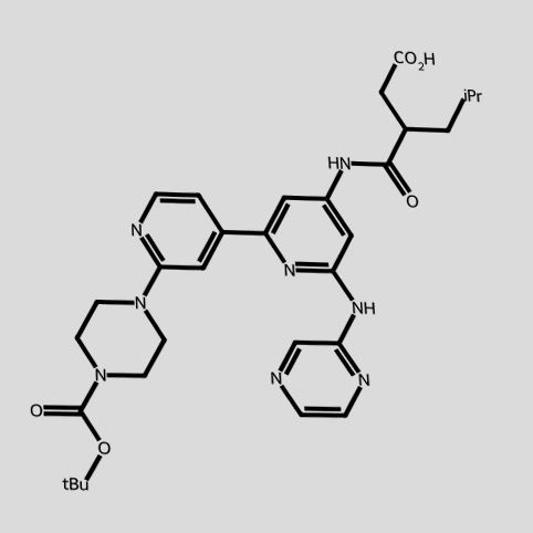 CC(C)CC(CC(=O)O)C(=O)Nc1cc(Nc2cnccn2)nc(-c2ccnc(N3CCN(C(=O)OC(C)(C)C)CC3)c2)c1